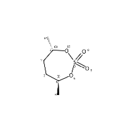 C[C@H]1CC[C@H](C)OS(=O)(=O)O1